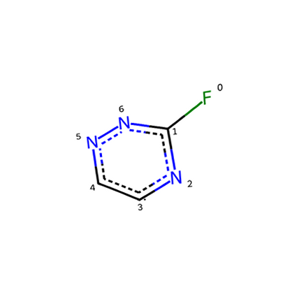 Fc1n[c]cnn1